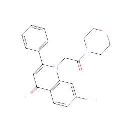 Cc1ccc2c(=O)cc(-c3ccccc3)n(CC(=O)N3CCOCC3)c2c1